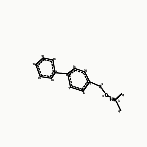 C[SiH](C)OSc1ccc(-c2ccccc2)cc1